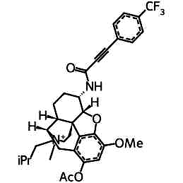 COc1cc(OC(C)=O)c2c3c1O[C@H]1[C@@H](NC(=O)C#Cc4ccc(C(F)(F)F)cc4)CC[C@H]4[C@@H](C2)[N+](C)(CC(C)C)CC[C@@]341